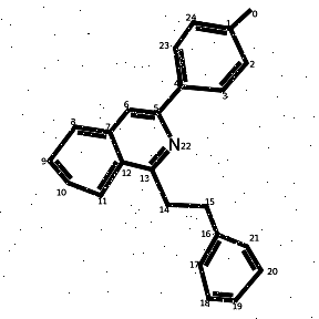 Cc1ccc(-c2cc3ccccc3c(CCc3ccccc3)n2)cc1